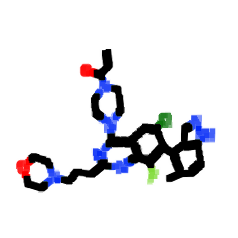 C=CC(=O)N1CCN(c2nc(CCCN3CCOCC3)nc3c(F)c(-c4c(C)ccc5[nH]ncc45)c(Cl)cc23)CC1